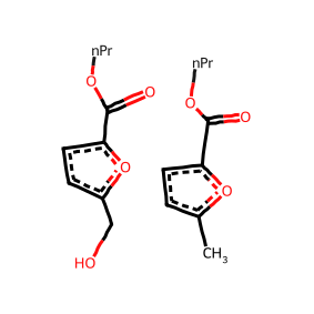 CCCOC(=O)c1ccc(C)o1.CCCOC(=O)c1ccc(CO)o1